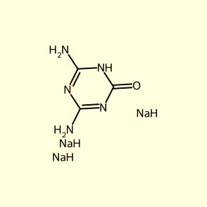 Nc1nc(N)[nH]c(=O)n1.[NaH].[NaH].[NaH]